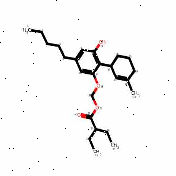 CCCCCc1cc(O)c(C2C=C(C)CCC2)c(OCOC(=O)C(CC)CC)c1